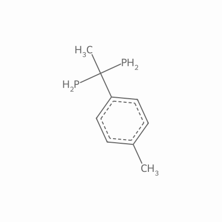 Cc1ccc(C(C)(P)P)cc1